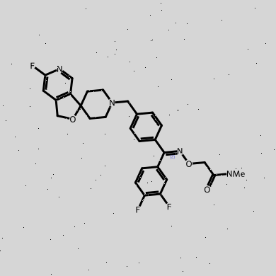 CNC(=O)CO/N=C(/c1ccc(CN2CCC3(CC2)OCc2cc(F)ncc23)cc1)c1ccc(F)c(F)c1